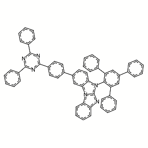 c1ccc(-c2cc(-c3ccccc3)c(-n3c4ccc(-c5ccc(-c6nc(-c7ccccc7)nc(-c7ccccc7)n6)cc5)cc4n4c5ccccc5nc34)c(-c3ccccc3)c2)cc1